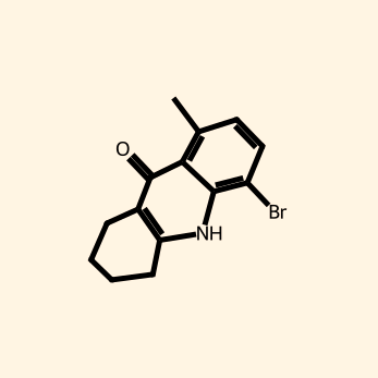 Cc1ccc(Br)c2[nH]c3c(c(=O)c12)CCCC3